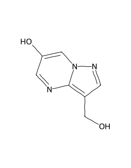 OCc1cnn2cc(O)cnc12